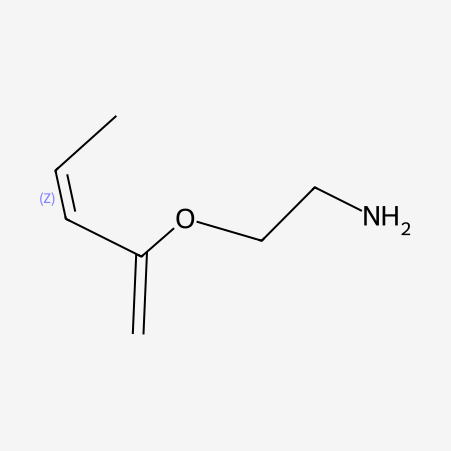 C=C(/C=C\C)OCCN